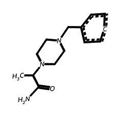 CC(C(N)=O)N1CCN(Cc2ccccc2)CC1